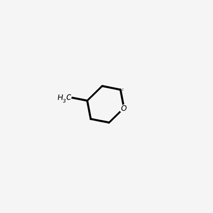 CC1C[C]OCC1